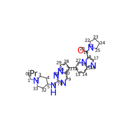 CC(C)CN1CCC(Nc2ncc3c(-c4ccc5ncc(C(=O)N6CCCC6)n5c4)ccn3n2)CC1